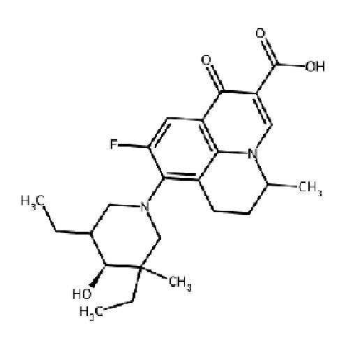 CCC1CN(c2c(F)cc3c(=O)c(C(=O)O)cn4c3c2CCC4C)CC(C)(CC)[C@H]1O